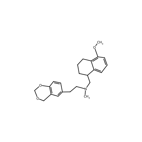 COc1cccc2c1CCCC2CN(C)CCc1ccc2c(c1)COCO2